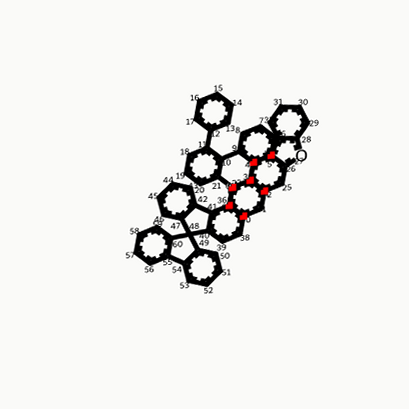 c1ccc(-c2ccccc2-c2c(-c3ccccc3)cccc2N(c2ccc3oc4ccccc4c3c2)c2cccc3c2-c2ccccc2C32c3ccccc3-c3ccccc32)cc1